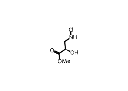 COC(=O)[C@H](O)CNCl